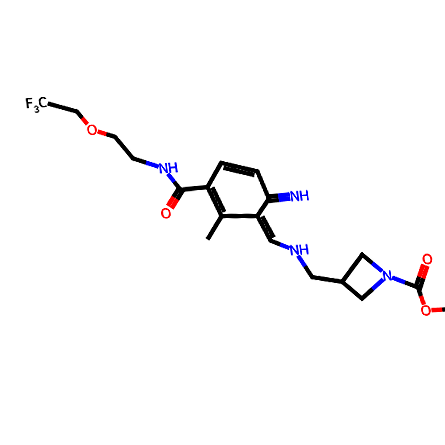 CC1=C(C(=O)NCCOCC(F)(F)F)C=CC(=N)/C1=C\NCC1CN(C(=O)OC(C)(C)C)C1